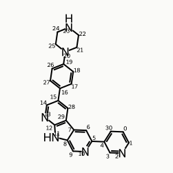 c1cncc(-c2cc3c(cn2)[nH]c2ncc(-c4ccc(N5CCNCC5)cc4)cc23)c1